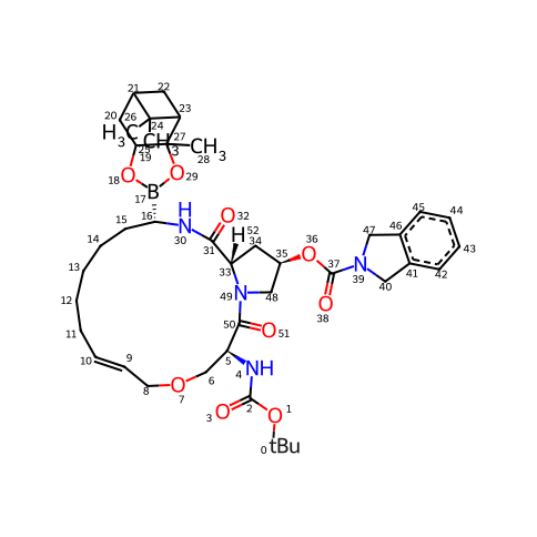 CC(C)(C)OC(=O)N[C@H]1COC/C=C/CCCCC[C@H](B2OC3CC4CC(C4(C)C)C3(C)O2)NC(=O)[C@@H]2C[C@@H](OC(=O)N3Cc4ccccc4C3)CN2C1=O